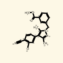 COC(=O)c1cccc(Cn2nc(C)c(-c3ccc(C#N)c(Cl)c3)c2C)c1